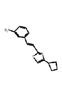 O=[N+]([O-])c1cccc(/C=C/c2nc(C3CCC3)cs2)c1